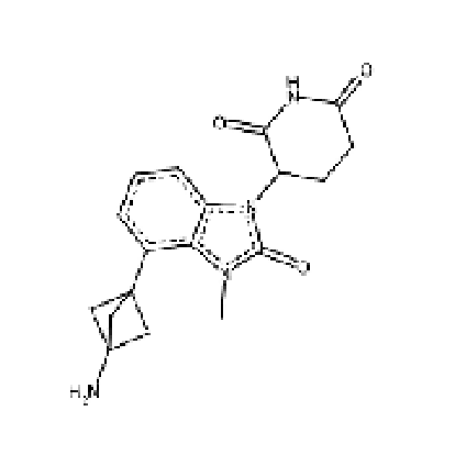 Cn1c(=O)n(C2CCC(=O)NC2=O)c2cccc(C34CC(N)(C3)C4)c21